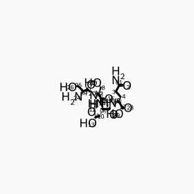 NC(=O)CC[C@H](NC(=O)[C@H](CC(=O)O)NC(=O)[C@H](CO)NC(=O)[C@@H](N)CO)C(=O)O